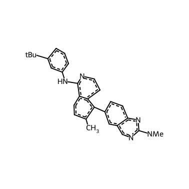 CNc1ncc2cc(-c3c(C)ccc4c(Nc5cccc(C(C)(C)C)c5)nccc34)ccc2n1